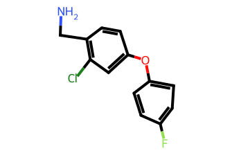 NCc1ccc(Oc2ccc(F)cc2)cc1Cl